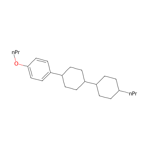 CCCOc1ccc(C2CCC(C3CCC(CCC)CC3)CC2)cc1